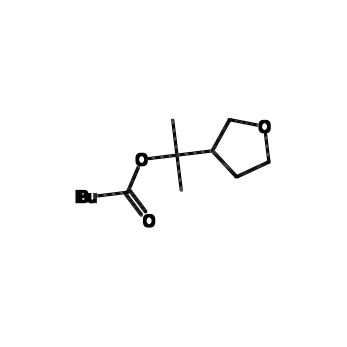 CCC(C)C(=O)OC(C)(C)C1CCOC1